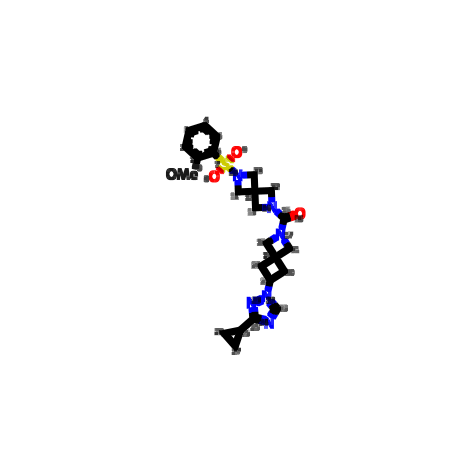 COc1ccccc1S(=O)(=O)N1CC2(CN(C(=O)N3CC4(CC(n5cnc(C6CC6)n5)C4)C3)C2)C1